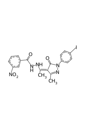 CC1=NN(c2ccc(I)cc2)C(=O)/C1=C(/C)NNC(=O)c1cccc([N+](=O)[O-])c1